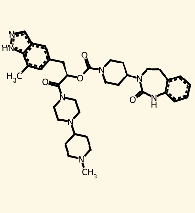 Cc1cc(C[C@@H](OC(=O)N2CCC(N3CCc4ccccc4NC3=O)CC2)C(=O)N2CCN(C3CCN(C)CC3)CC2)cc2cn[nH]c12